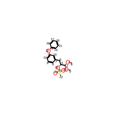 COC(OC)C(Cc1cccc(Oc2ccccc2)c1)OS(C)(=O)=O